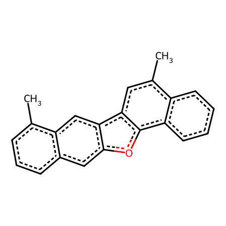 Cc1cccc2cc3oc4c5ccccc5c(C)cc4c3cc12